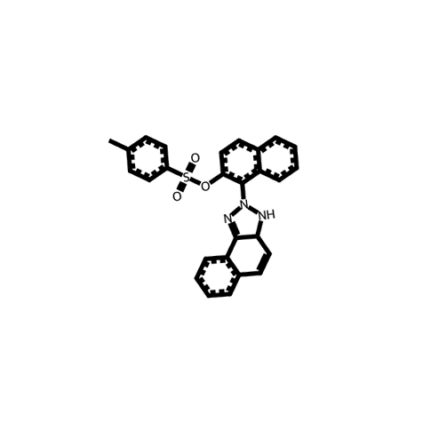 Cc1ccc(S(=O)(=O)Oc2ccc3ccccc3c2N2N=C3c4ccccc4C=CC3N2)cc1